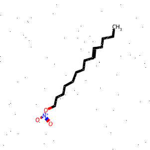 CCCCC=CCCCCCCCCO[N+](=O)[O-]